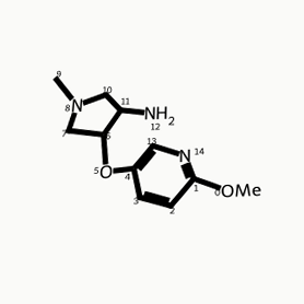 COc1ccc(OC2CN(C)CC2N)cn1